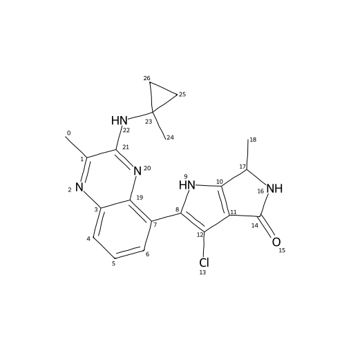 Cc1nc2cccc(-c3[nH]c4c(c3Cl)C(=O)NC4C)c2nc1NC1(C)CC1